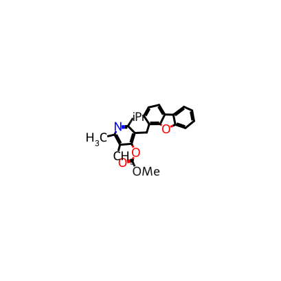 COC(=O)Oc1c(C)c(C)nc(C(C)C)c1Cc1cccc2c1oc1ccccc12